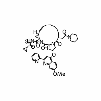 COc1ccc2c(O[C@@H]3C[C@H]4C(=O)N[C@]5(C(=O)NS(=O)(=O)C6CC6)C[C@H]5C=CCCCCC[C@H](CC(=O)N5CCCCC5)C(=O)N4C3)cc(-c3ccccn3)nc2c1